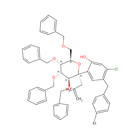 C=C(C)C[C@@]1(c2cc(Cc3ccc(CC)cc3)c(Cl)cc2O)O[C@H](COCc2ccccc2)[C@@H](OCc2ccccc2)[C@@H](OCc2ccccc2)[C@@H]1OCc1ccccc1